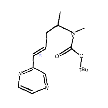 CC(C/C=C/c1cnccn1)N(C)C(=O)OC(C)(C)C